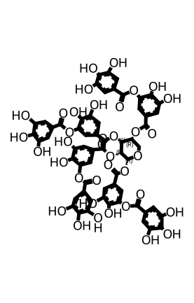 O=C(Oc1cc(C(=O)O[C@H]2OC[C@@H](OC(=O)c3cc(O)c(O)c(OC(=O)c4cc(O)c(O)c(O)c4)c3)[C@H](OC(=O)c3cc(O)c(O)c(OC(=O)c4cc(O)c(O)c(O)c4)c3)[C@H]2OC(=O)c2cc(O)c(O)c(OC(=O)c3cc(O)c(O)c(O)c3)c2)cc(O)c1O)c1cc(O)c(O)c(O)c1